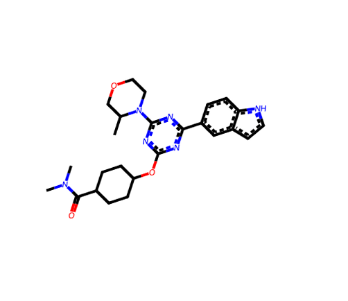 CC1COCCN1c1nc(OC2CCC(C(=O)N(C)C)CC2)nc(-c2ccc3[nH]ccc3c2)n1